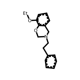 CCOc1cccc2c1OCN(CCc1ccccc1)C2